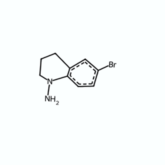 NN1CCCc2cc(Br)ccc21